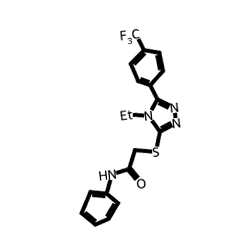 CCn1c(SCC(=O)Nc2ccccc2)nnc1-c1ccc(C(F)(F)F)cc1